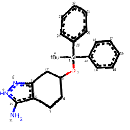 CC(C)(C)[Si](OC1CCc2c(n[nH]c2N)C1)(c1ccccc1)c1ccccc1